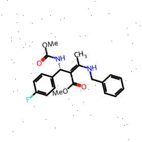 COC(=O)N[C@H](C(C(=O)OC)=C(C)NCc1ccccc1)c1ccc(F)cc1